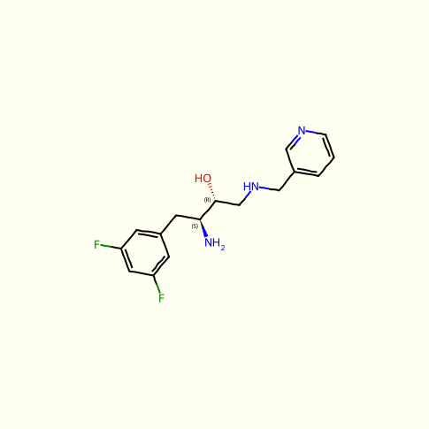 N[C@@H](Cc1cc(F)cc(F)c1)[C@H](O)CNCc1cccnc1